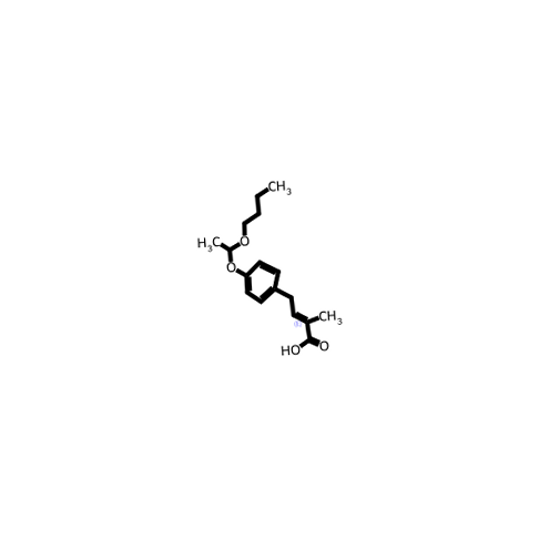 CCCCOC(C)Oc1ccc(C/C=C(\C)C(=O)O)cc1